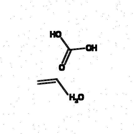 C=CC.O.O=C(O)O